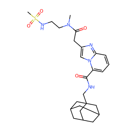 CN(CCNS(C)(=O)=O)C(=O)Cc1cn2c(C(=O)NCC34CC5CC(CC(C5)C3)C4)cccc2n1